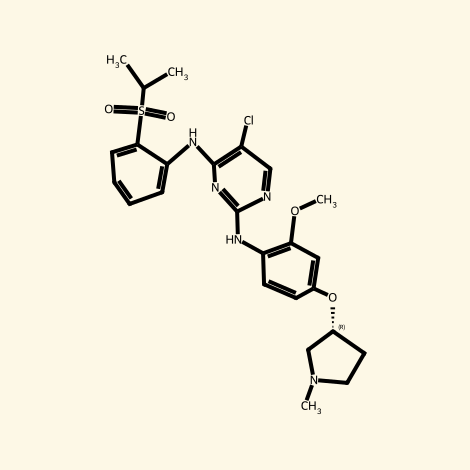 COc1cc(O[C@@H]2CCN(C)C2)ccc1Nc1ncc(Cl)c(Nc2ccccc2S(=O)(=O)C(C)C)n1